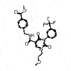 COCCn1cc(C(=O)NCc2ccc(C(=O)OC)cc2)c(=O)n(-c2cccc(C(F)(F)F)c2)c1=O